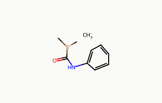 C[S+](C)C(=O)Nc1ccccc1.[CH3-]